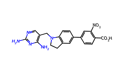 Nc1ncc(CN2CCc3cc(-c4ccc(C(=O)O)c([N+](=O)[O-])c4)ccc32)c(N)n1